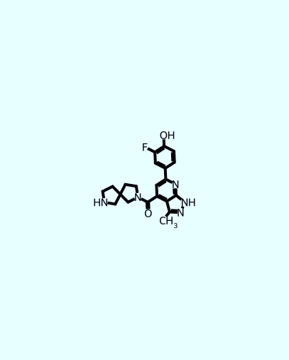 Cc1n[nH]c2nc(-c3ccc(O)c(F)c3)cc(C(=O)N3CCC4(CCNC4)C3)c12